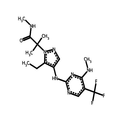 CCc1c(Nc2ncc(C(F)(F)F)c(NC)n2)cnn1C(C)(C)C(=O)NC